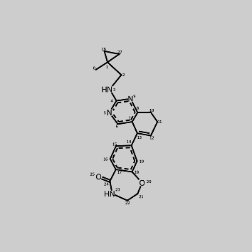 CC1(CNc2ncc3c(n2)CCC=C3c2ccc3c(c2)OCCNC3=O)CC1